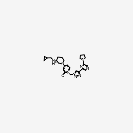 O=c1cc(N2CCC[C@@H](NCC3CC3)C2)ccn1Cn1cc(-c2cncc(N3CCCC3)n2)nn1